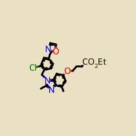 CCOC(=O)CCCOc1cc(C)c2nc(C)n(Cc3ccc(-c4ncco4)cc3Cl)c2c1